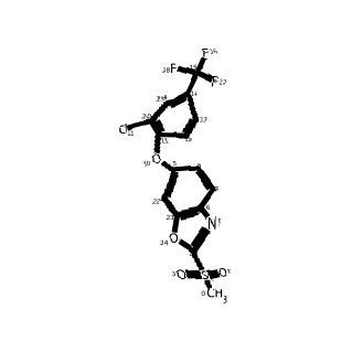 CS(=O)(=O)c1nc2ccc(Oc3ccc(C(F)(F)F)cc3Cl)cc2o1